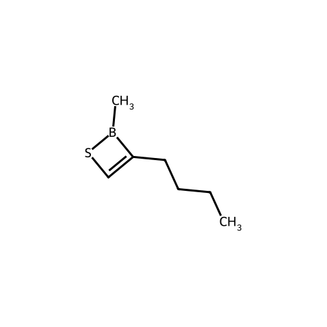 CCCCC1=CSB1C